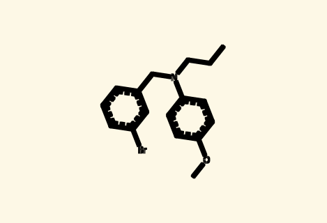 CCCN(Cc1cccc(Br)c1)c1ccc(OC)cc1